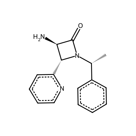 C[C@H](c1ccccc1)N1C(=O)[C@H](N)[C@H]1c1ccccn1